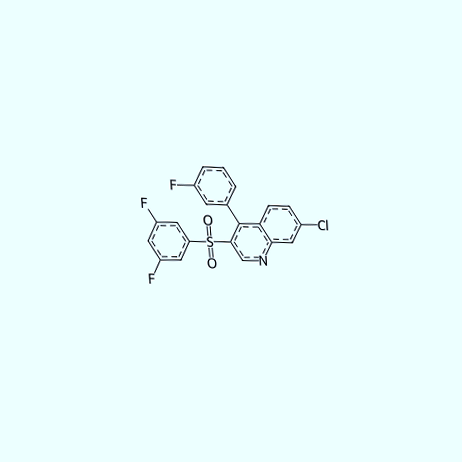 O=S(=O)(c1cc(F)cc(F)c1)c1cnc2cc(Cl)ccc2c1-c1cccc(F)c1